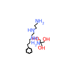 NC(CO)(CO)CO.NCCCNCCNCCCc1ccccc1